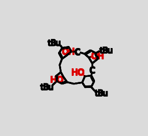 CC(C)(C)C1=CC2CC3=CC(C(C)(C)C)=CC(CC4=CC(C(C)(C)C)=CC(CC5=CC(C(C)(C)C)=CC(CC(=C1)C2O)C5O)C4O)C3O